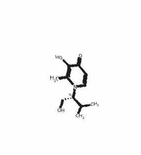 Cc1c(O)c(=O)ccn1[C@@H](CO)C(C)C